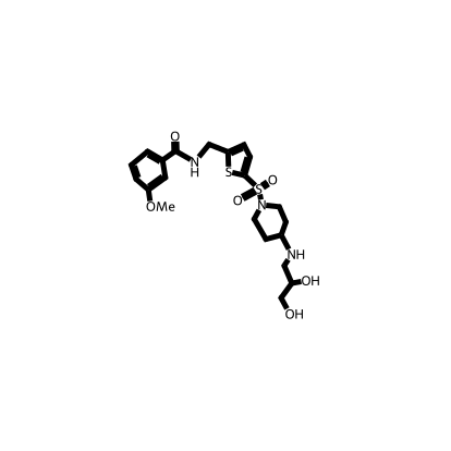 COc1cccc(C(=O)NCc2ccc(S(=O)(=O)N3CCC(NCC(O)CO)CC3)s2)c1